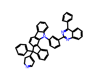 C1=NCCC(C2(c3ccccc3)c3ccccc3-c3c2ccc2c4ccccc4n(-c4cccc(-c5nc(-c6ccccc6)c6ccccc6n5)c4)c32)=C1